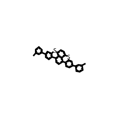 Cc1cccc(-c2ccc3c(c2)Sc2ccc4c5c(ccc-3c25)-c2ccc(-c3cccc(C)c3)cc2S4)c1